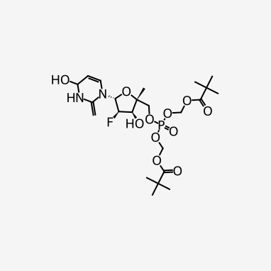 C=C1NC(O)C=CN1[C@@H]1O[C@](C)(COP(=O)(OCOC(=O)C(C)(C)C)OCOC(=O)C(C)(C)C)[C@@H](O)[C@H]1F